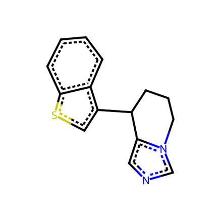 c1ccc2c(C3CCCn4cncc43)csc2c1